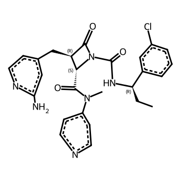 CC[C@@H](NC(=O)N1C(=O)[C@H](Cc2ccnc(N)c2)[C@H]1C(=O)N(C)c1ccncc1)c1cccc(Cl)c1